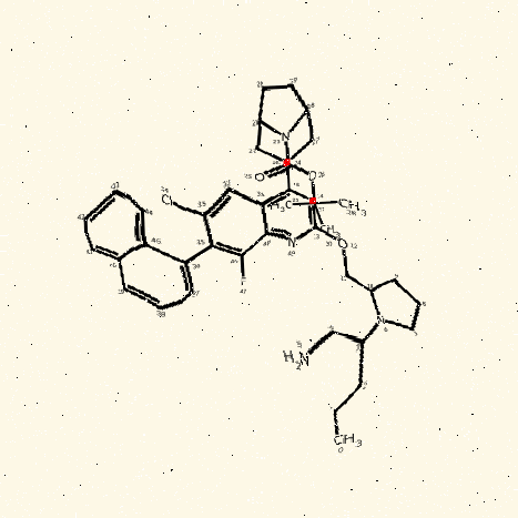 CCCC(CN)N1CCCC1COc1nc(N2CC3CCC(C2)N3C(=O)OC(C)(C)C)c2cc(Cl)c(-c3cccc4ccccc34)c(F)c2n1